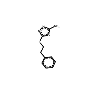 Nc1nnc(SCCc2ccccc2)s1